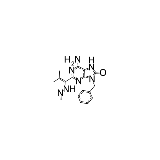 C=NNC(=C(C)C)c1nc(N)c2[nH]c(=O)n(Cc3ccccc3)c2n1